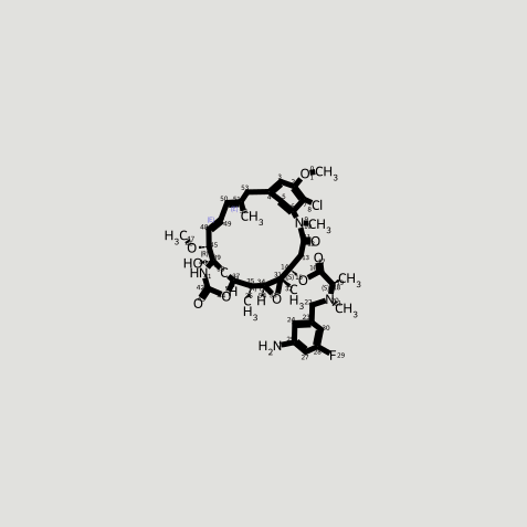 COc1cc2cc(c1Cl)N(C)C(=O)C[C@H](OC(=O)[C@H](C)N(C)Cc1cc(N)cc(F)c1)[C@]1(C)O[C@H]1[C@H](C)[C@@H]1C[C@@](O)(NC(=O)O1)[C@H](OC)/C=C/C=C(\C)C2